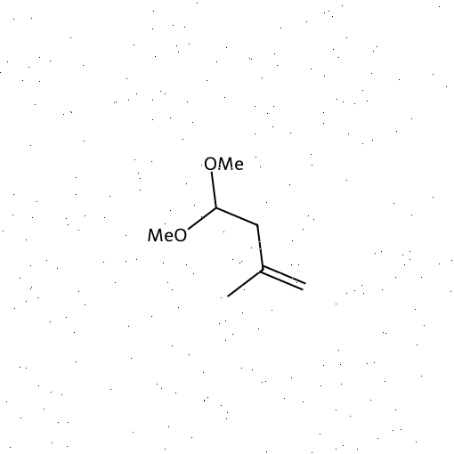 C=C(C)CC(OC)OC